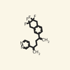 C=C(CCC(=C)c1ccc2c(c1)CC(F)(F)C(F)(F)C2)c1ccnnc1